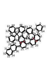 c1ccc(-c2ccccc2-c2ccccc2N(c2ccccc2-c2ccc(-c3ccc4ccccc4c3)cc2)c2cccc3c2-c2ccccc2C3(c2ccccc2)c2ccccc2)cc1